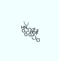 CCC(CC)Nc1cc(C)nc(Oc2ccc(Cl)cc2OC(F)(F)F)c1C(=O)OC